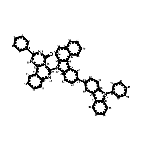 O=c1nc(-c2ccccc2)nc2c3ccccc3nc(-n3c4ccc(-c5ccc6c(c5)c5ccccc5n6-c5ccccc5)cc4c4c5ccccc5ccc43)n12